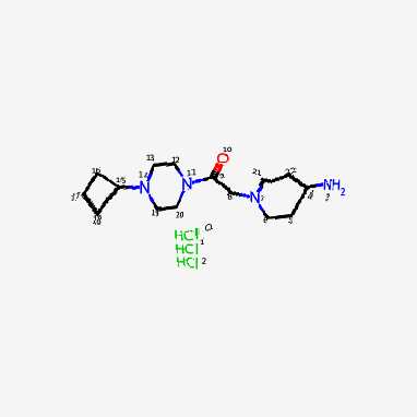 Cl.Cl.Cl.NC1CCN(CC(=O)N2CCN(C3CCC3)CC2)CC1